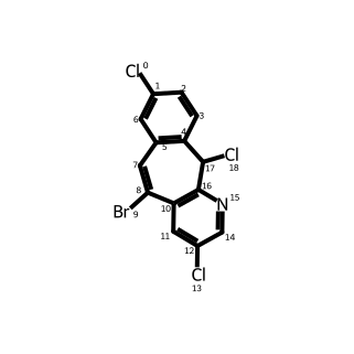 Clc1ccc2c(c1)C=C(Br)c1cc(Cl)cnc1C2Cl